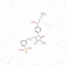 CCCCC(O)c1ccc(N2C(=O)N(C)C(=O)C2COCc2cccc(P(=O)(O)O)c2)cc1